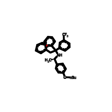 CCCCOc1ccc([C@H](C)NC(Cc2ccccc2)(c2cccc(C(F)(F)F)c2)c2ccccn2)cc1